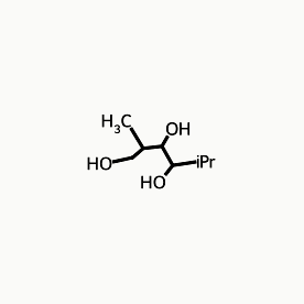 CC(C)C(O)C(O)C(C)CO